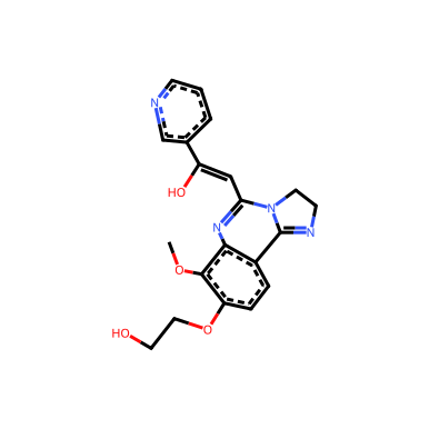 COc1c(OCCO)ccc2c1N=C(C=C(O)c1cccnc1)N1CCN=C21